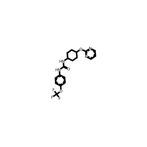 O=C(Nc1ccc(OC(F)(F)F)cc1)NC1CCC(Oc2ncccn2)CC1